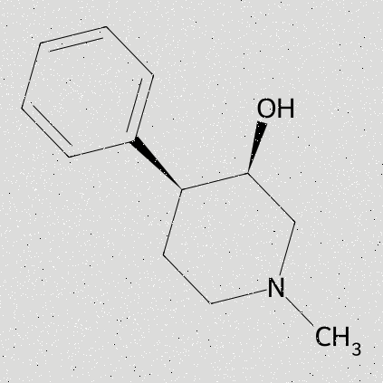 CN1CC[C@@H](c2ccccc2)[C@@H](O)C1